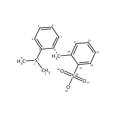 C[S+](C)c1ccccc1.Cc1ccccc1S(=O)(=O)[O-]